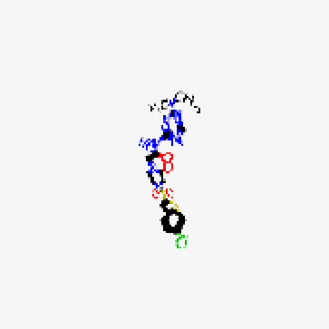 CN(C)c1ncnc(NC(=O)CN2CCN(S(=O)(=O)c3cc4ccc(Cl)cc4s3)CC2=O)n1